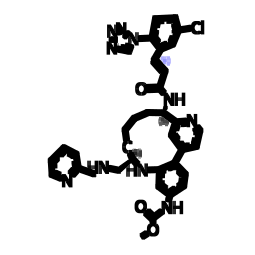 COC(=O)Nc1ccc2c(c1)N[C@@H](CNCc1ccccn1)CCCC[C@H](NC(=O)/C=C/c1cc(Cl)ccc1-n1cnnn1)c1cc-2ccn1